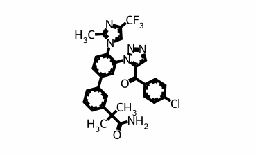 Cc1nc(C(F)(F)F)cn1-c1ccc(-c2cccc(C(C)(C)C(N)=O)c2)cc1-n1nncc1C(=O)c1ccc(Cl)cc1